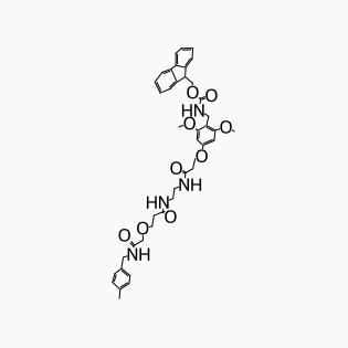 COc1cc(OCCC(=O)NCCNC(=O)CCOCC(=O)NCc2ccc(C)cc2)cc(OC)c1CNC(=O)OCC1c2ccccc2-c2ccccc21